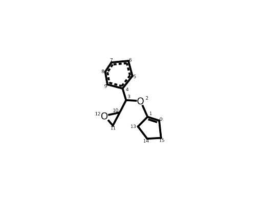 C1=C(OC(c2ccccc2)C2CO2)CCC1